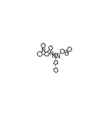 c1ccc(-c2ccc(-c3nc(-c4ccc5c(c4)oc4ccccc45)cc(-n4c5ccccc5c5c4ccc4c6ccccc6n(-c6ccccc6)c45)n3)cc2)cc1